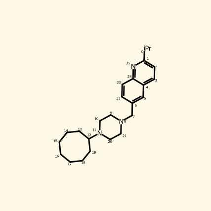 CC(C)c1ccc2cc(CN3CCN(C4CCCCCCC4)CC3)ccc2n1